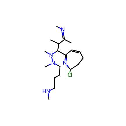 C/N=C(/C)C(C)C(C1=NC(Cl)CCC=C1)N(C)N(C)CCCCNC